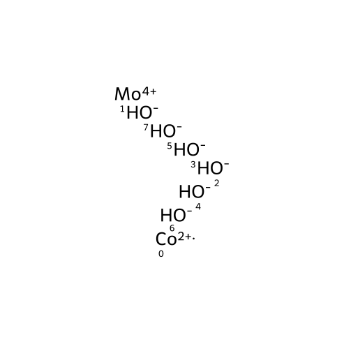 [Co+2].[Mo+4].[OH-].[OH-].[OH-].[OH-].[OH-].[OH-]